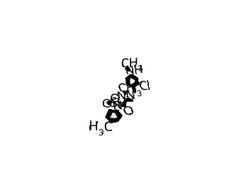 CCNc1ccc(Cn2cc(C(=O)N(c3ccc(C)cc3)[SH](=O)=O)nc2C)c(Cl)c1